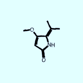 COC1=CC(=O)NC1=C(C)C